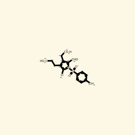 Cc1ccc(S(=O)(=O)n2c(Cl)c(CCC(=O)O)c(CC(=O)O)c2C=O)cc1